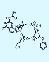 CC(C)C(=O)Nc1nc2c(ncn2[C@@H]2O[C@@H]3COP(=O)(O)O[C@H]4C[C@H](Oc5ccncn5)C[C@@H]4COP(=O)(OCCC#N)O[C@@H]2[C@@H]3C)c(=O)[nH]1